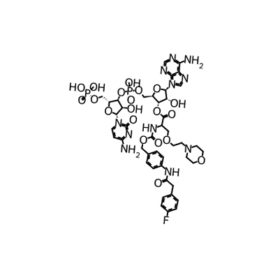 Nc1ccn([C@@H]2O[C@H](COP(=O)(O)O)[C@@H](OP(=O)(O)OC[C@H]3O[C@@H](n4cnc5c(N)ncnc54)[C@H](O)[C@@H]3OC(=O)C(COCCN3CCOCC3)NC(=O)OCc3ccc(NC(=O)Cc4ccc(F)cc4)cc3)[C@H]2O)c(=O)n1